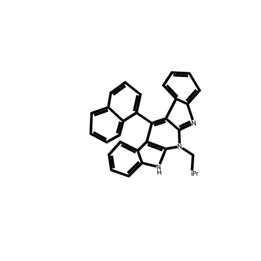 CC(C)Cn1c2nc3ccccc3c-2c(-c2cccc3ccccc23)c2c3ccccc3[nH]c21